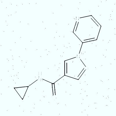 O=C(NC1CC1)C1=C[N](c2cccnc2)[In]=[CH]1